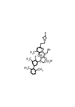 Cc1cccc(C)c1-c1cc([C@H](CC(=O)O)NC(=O)[C@H](CC(C)C)n2nc(CCN3CC(F)C3)cc(C(F)(F)F)c2=O)c(F)c(C(F)(F)F)c1